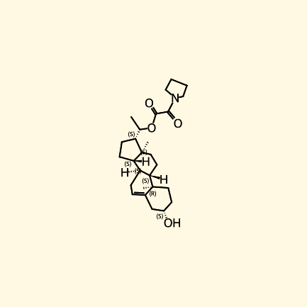 CC(OC(=O)C(=O)N1CCCC1)[C@H]1CC[C@H]2[C@@H]3CC=C4C[C@@H](O)CC[C@]4(C)[C@H]3CC[C@]12C